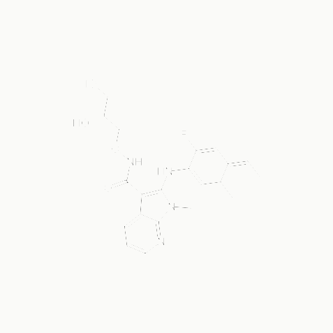 C/C=C1/C=C(F)C(Nc2c(C(=O)NOC[C@H](O)CO)c3cccnc3n2C)=CC1C